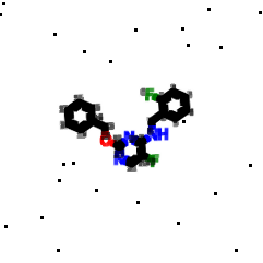 Fc1ccccc1CNc1nc(OCc2ccccc2)ncc1F